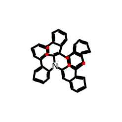 c1ccc(-c2ccccc2N(c2ccc3ccccc3c2-c2cccc3ccccc23)c2cc3ccccc3c3ccccc23)cc1